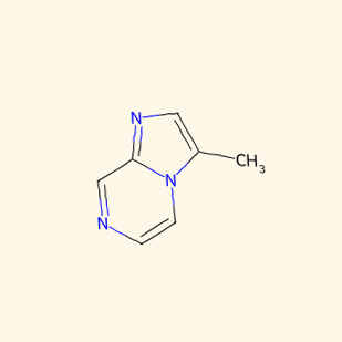 Cc1cnc2cnccn12